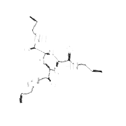 C=CCNC(=O)c1nc(C(=O)NCC=C)nc(C(=O)NCC=C)n1